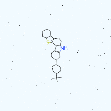 CC(C)(C)C1CCC(C2CCC3=C(C2)NC2CCC4C5CCCCC5SC4C32)CC1